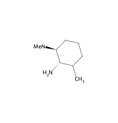 CN[C@H]1CCCC(C)[C@@H]1N